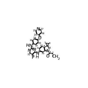 C=CC(=O)N1CC2(CC2)c2ccc(Nc3nc(Nc4ccc(Oc5ccncc5)cc4)ncc3F)cc21